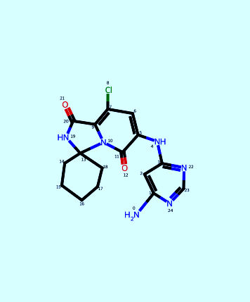 Nc1cc(Nc2cc(Cl)c3n(c2=O)C2(CCCCC2)NC3=O)ncn1